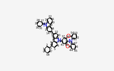 c1ccc(-c2ccc3c(c2)c2cc(-c4ccc5c(c4)c4ccccc4n5-c4ccccc4)ccc2n3-c2cc3c4c(c2)Oc2ccccc2N4c2ccccc2O3)cc1